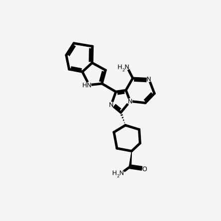 Nc1nccn2c1c(-c1cc3ccccc3[nH]1)nc2[C@H]1CC[C@H](C(N)=O)CC1